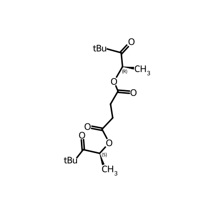 C[C@H](OC(=O)CCC(=O)O[C@H](C)C(=O)C(C)(C)C)C(=O)C(C)(C)C